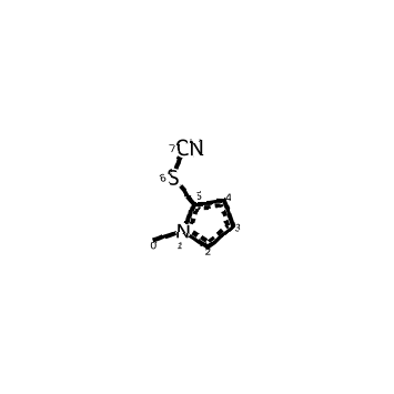 Cn1cccc1SC#N